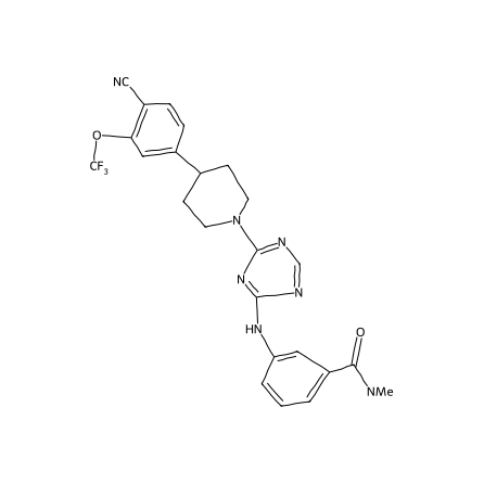 CNC(=O)c1cccc(Nc2ncnc(N3CCC(c4ccc(C#N)c(OC(F)(F)F)c4)CC3)n2)c1